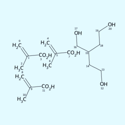 C=C(C)C(=O)O.C=C(C)C(=O)O.C=C(C)C(=O)O.OCCC(CO)CCO